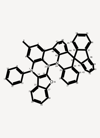 Cc1cc2c3c(c1)N(c1ccccc1)c1c(oc4ccccc14)B3N1c3ccccc3C3(c4ccccc4-c4ccccc43)c3cccc-2c31